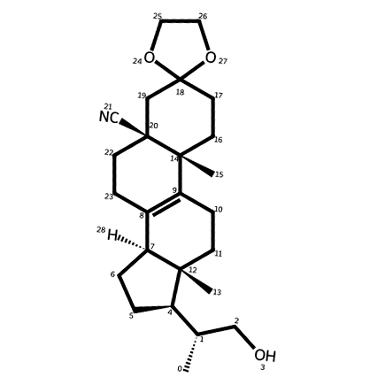 C[C@@H](CO)[C@H]1CC[C@H]2C3=C(CC[C@]12C)[C@@]1(C)CCC2(C[C@@]1(C#N)CC3)OCCO2